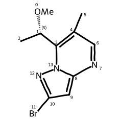 CO[C@@H](C)c1c(C)cnc2cc(Br)nn12